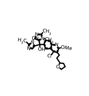 COc1nc2ccc(C(O)(c3cnc(C)n3C)c3cnc(C)n3C)cc2c(Cl)c1CCC1CCCO1